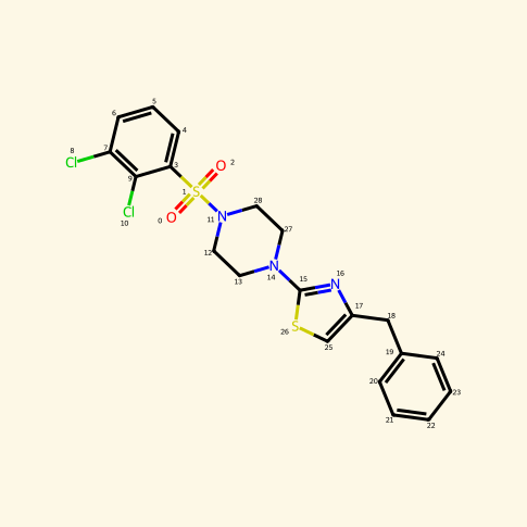 O=S(=O)(c1cccc(Cl)c1Cl)N1CCN(c2nc(Cc3ccccc3)cs2)CC1